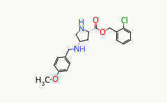 COc1ccc(CN[C@@H]2CN[C@H](C(=O)OCc3ccccc3Cl)C2)cc1